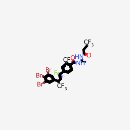 C[C@H](NC(=O)CCC(F)(F)F)NC(=O)c1ccc(/C(F)=C/C(c2cc(Br)c(Br)c(Br)c2)C(F)(F)F)cc1C(F)(F)F